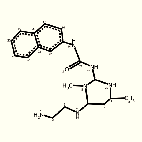 CC1CC(NCCN)N(C)C(NC(=O)Nc2ccc3ccccc3c2)N1